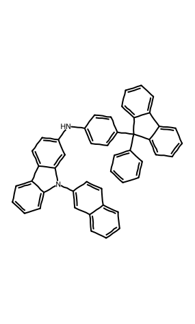 c1ccc(C2(c3ccc(Nc4ccc5c6ccccc6n(-c6ccc7ccccc7c6)c5c4)cc3)c3ccccc3-c3ccccc32)cc1